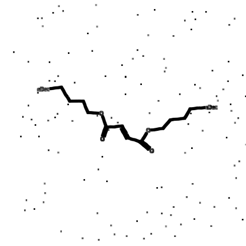 CCCCCCCCCCCCCCOC(=O)C=CC(=O)OCCCCCCCCCCCCCC